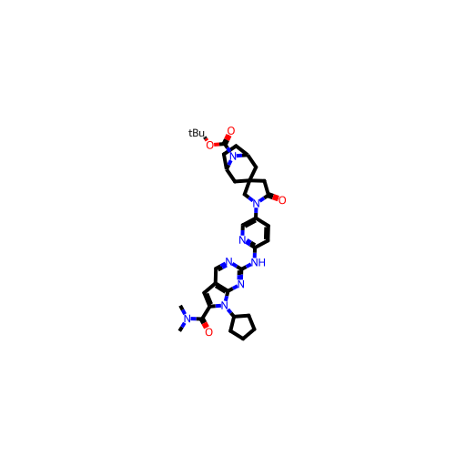 CN(C)C(=O)c1cc2cnc(Nc3ccc(N4CC5(CC4=O)CC4CCC(C5)N4C(=O)OC(C)(C)C)cn3)nc2n1C1CCCC1